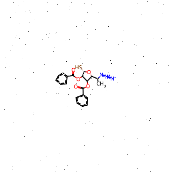 C[C@H](N=[N+]=[N-])[C@H]1O[C@@H](S)C(OC(=O)c2ccccc2)C1OC(=O)c1ccccc1